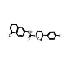 O=C1CCCc2cc(NC(=O)N3CCC(c4ccc(F)cc4)CC3)ccc21